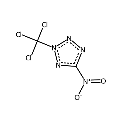 O=[N+]([O-])c1nnn(C(Cl)(Cl)Cl)n1